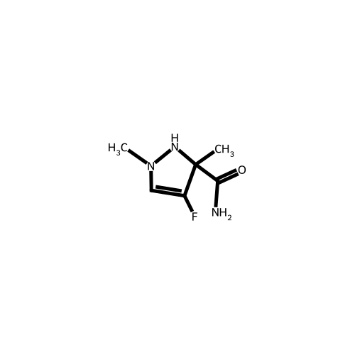 CN1C=C(F)C(C)(C(N)=O)N1